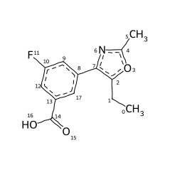 CCc1oc(C)nc1-c1cc(F)cc(C(=O)O)c1